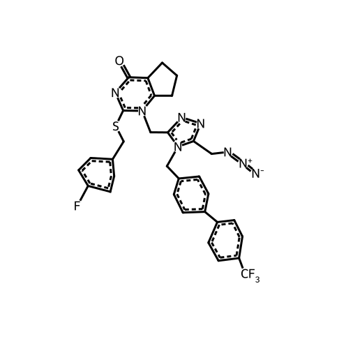 [N-]=[N+]=NCc1nnc(Cn2c(SCc3ccc(F)cc3)nc(=O)c3c2CCC3)n1Cc1ccc(-c2ccc(C(F)(F)F)cc2)cc1